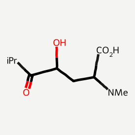 CNC(CC(O)C(=O)C(C)C)C(=O)O